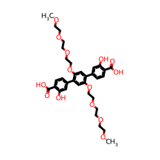 COCCOCCOCCOc1cc(-c2ccc(C(=O)O)c(O)c2)c(OCCOCCOCCOC)cc1-c1ccc(C(=O)O)c(O)c1